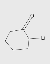 [Li][CH]1CCCCC1=O